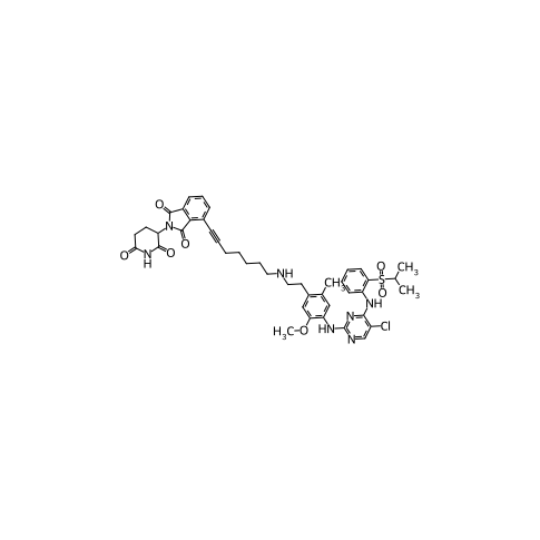 COc1cc(CCNCCCCCC#Cc2cccc3c2C(=O)N(C2CCC(=O)NC2=O)C3=O)c(C)cc1Nc1ncc(Cl)c(Nc2ccccc2S(=O)(=O)C(C)C)n1